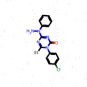 CCc1nc(N(N)c2ccccc2)nc(=O)n1-c1ccc(Cl)cc1